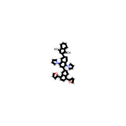 N#Cc1cc(-c2ccc3c(-n4cccc4)c(-c4ccc5c(-c6ccco6)ccc(-c6ccco6)c5c4)cc(-n4cccc4)c3c2)c(C#N)c2ccccc12